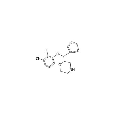 Fc1c(Cl)cccc1OC(c1ccccc1)C1CNCCO1